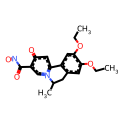 CCOc1cc2c(cc1OCC)-c1cc(=O)c(C(=O)N=O)cn1C(C)C2